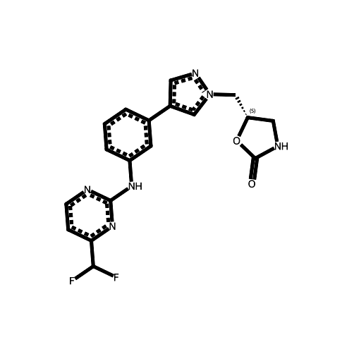 O=C1NC[C@@H](Cn2cc(-c3cccc(Nc4nccc(C(F)F)n4)c3)cn2)O1